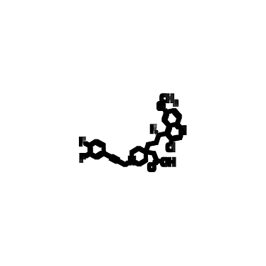 COc1ccc2ncc(Cl)c([C@@H](F)CCC3(CC(=O)O)CCN(CC#Cc4ccc(F)c(F)c4)CC3)c2c1